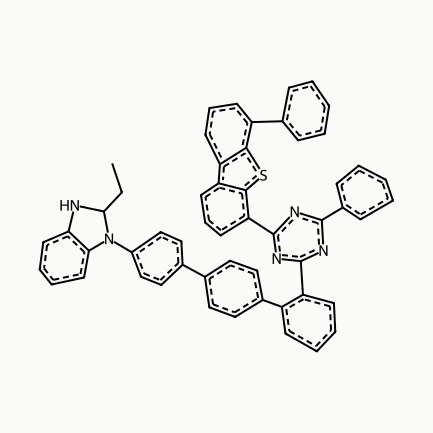 CCC1Nc2ccccc2N1c1ccc(-c2ccc(-c3ccccc3-c3nc(-c4ccccc4)nc(-c4cccc5c4sc4c(-c6ccccc6)cccc45)n3)cc2)cc1